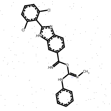 C/N=C(/Nc1ccccc1)OC(=N)c1ccc2nc(-c3c(Cl)cccc3Cl)[nH]c2c1